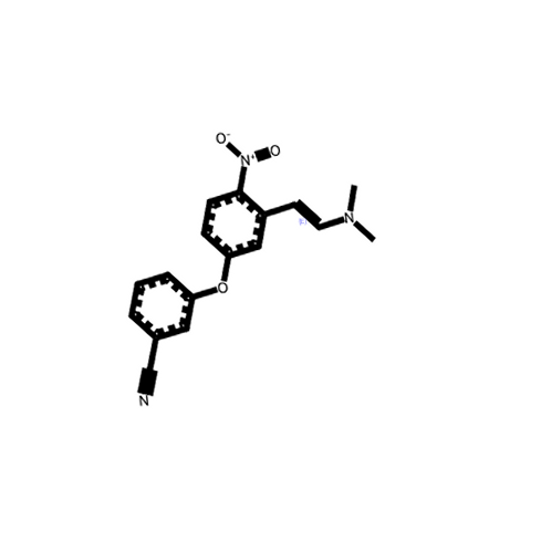 CN(C)/C=C/c1cc(Oc2cccc(C#N)c2)ccc1[N+](=O)[O-]